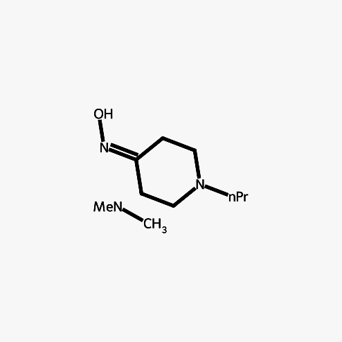 CCCN1CCC(=NO)CC1.CNC